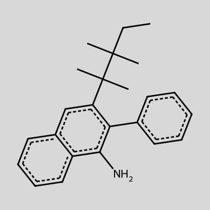 CCC(C)(C)C(C)(C)c1cc2ccccc2c(N)c1-c1ccccc1